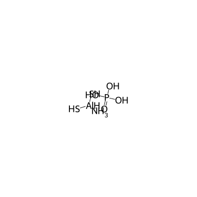 N.O=P(O)(O)O.[SH][AlH][SH]